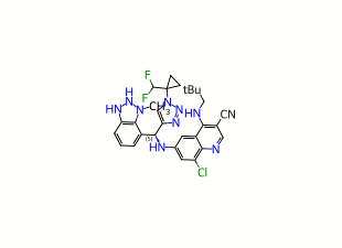 CN1NNc2cccc([C@H](Nc3cc(Cl)c4ncc(C#N)c(NCC(C)(C)C)c4c3)c3cn(C4(C(F)F)CC4)nn3)c21